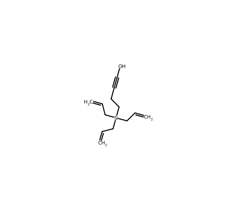 C=CC[Si](CC=C)(CC=C)CCC#CO